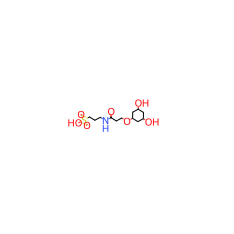 O=C(CCOC1CC(O)CC(O)C1)NCCCS(=O)(=O)O